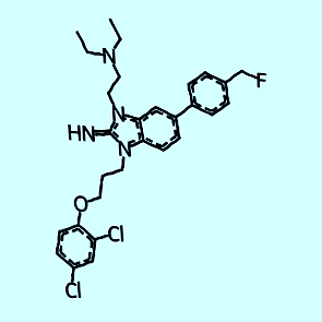 CCN(CC)CCn1c(=N)n(CCCOc2ccc(Cl)cc2Cl)c2ccc(-c3ccc(CF)cc3)cc21